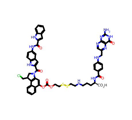 Nc1nc2ncc(CNc3ccc(C(=O)N[C@H](CCCNCCSSCCOC(=O)Oc4cc5c(c6ccccc46)C(CCl)CN5C(=O)c4cc5cc(NC(=O)c6cc7ccccc7[nH]6)ccc5[nH]4)C(=O)O)cc3)nc2c(=O)[nH]1